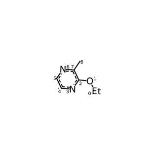 CCOc1n[c]cnc1C